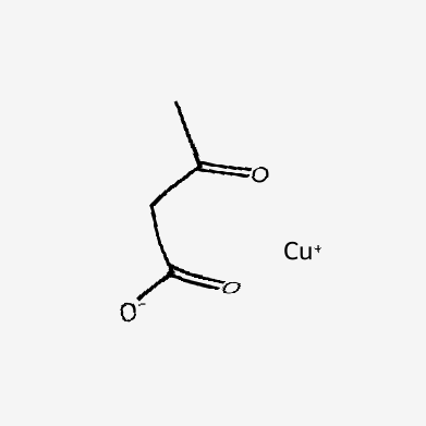 CC(=O)CC(=O)[O-].[Cu+]